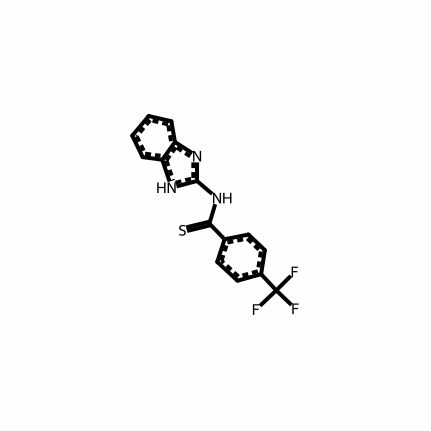 FC(F)(F)c1ccc(C(=S)Nc2nc3ccccc3[nH]2)cc1